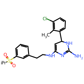 Cc1c(Cl)cccc1C1C=C(NCCc2cccc(S(=O)(=O)C(C)C)c2)N=C(N)N1